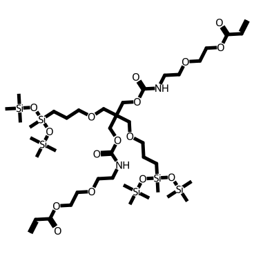 C=CC(=O)OCCOCCNC(=O)OCC(COCCC[Si](C)(O[Si](C)(C)C)O[Si](C)(C)C)(COCCC[Si](C)(O[Si](C)(C)C)O[Si](C)(C)C)COC(=O)NCCOCCOC(=O)C=C